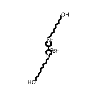 OCCCCCCCCCCC[n+]1ccc(-c2cc[n+](CCCCCCCCCCCO)cc2)cc1.[Br-].[Br-]